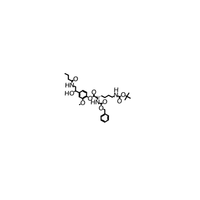 CCCC(=O)NCC(O)c1ccc(OC(=O)[C@H](CCCCNC(=O)OC(C)(C)C)NC(=O)OCc2ccccc2)c(OC)c1